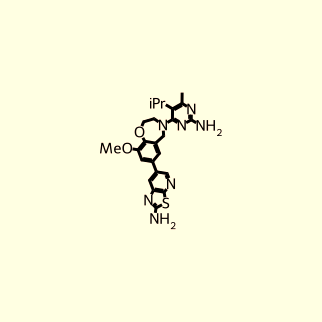 COc1cc(-c2cnc3sc(N)nc3c2)cc2c1OCCN(c1nc(N)nc(C)c1C(C)C)C2